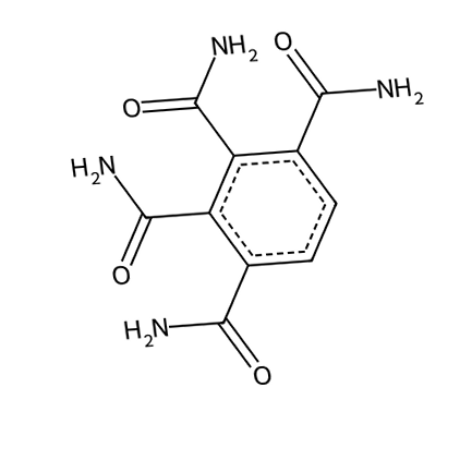 NC(=O)c1ccc(C(N)=O)c(C(N)=O)c1C(N)=O